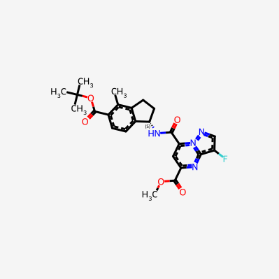 COC(=O)c1cc(C(=O)N[C@H]2CCc3c2ccc(C(=O)OC(C)(C)C)c3C)n2ncc(F)c2n1